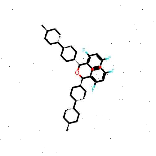 C[C@H]1CC[C@H]([C@H]2CC[C@H](C(OC(c3ccc(F)cc3F)[C@H]3CC[C@H]([C@H]4CC[C@H](C)CC4)CC3)c3ccc(F)cc3F)CC2)CC1